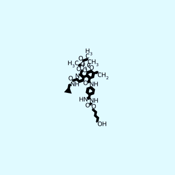 C=Cc1cc(C(=O)Nc2ccc(C(=N)NC(=O)OCCCCCO)cc2)c(-c2ccc(C(=O)NCC3CC3)nc2C(=O)OC(C)OC(=O)C(C)C)cc1OC